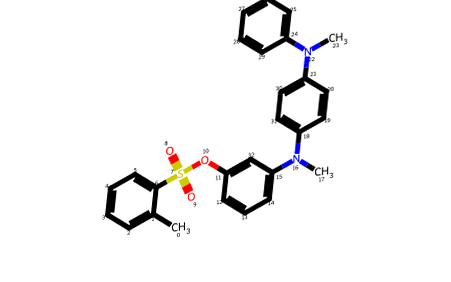 Cc1ccccc1S(=O)(=O)Oc1cccc(N(C)c2ccc(N(C)c3ccccc3)cc2)c1